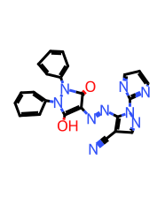 N#Cc1cnn(-c2ncccn2)c1N=Nc1c(O)n(-c2ccccc2)n(-c2ccccc2)c1=O